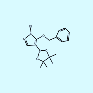 CCn1ncc(B2OC(C)(C)C(C)(C)O2)c1OCc1ccccc1